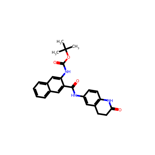 CC(C)(C)OC(=O)Nc1cc2ccccc2cc1C(=O)Nc1ccc2c(c1)CCC(=O)N2